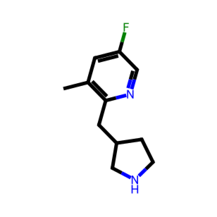 Cc1cc(F)cnc1CC1CCNC1